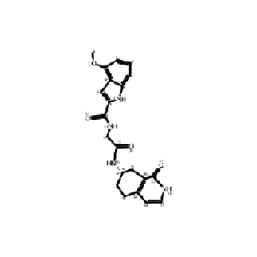 COc1cccc2[nH]c(C(=O)NCC(=O)N[C@H]3CCc4cc[nH]c(=O)c4C3)cc12